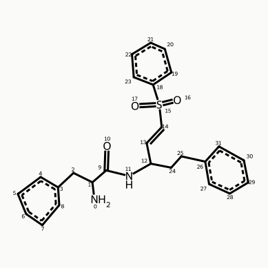 NC(Cc1ccccc1)C(=O)NC(C=CS(=O)(=O)c1ccccc1)CCc1ccccc1